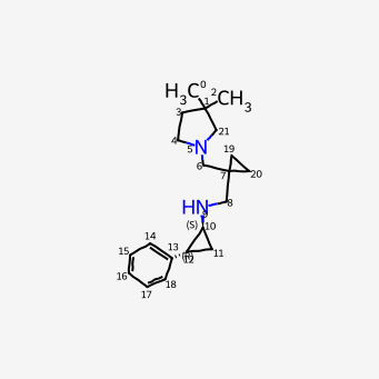 CC1(C)CCN(CC2(CN[C@H]3C[C@@H]3c3ccccc3)CC2)C1